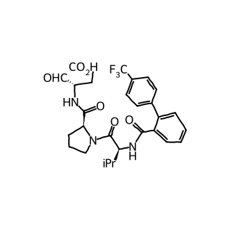 CC(C)[C@H](NC(=O)c1ccccc1-c1ccc(C(F)(F)F)cc1)C(=O)N1CCC[C@H]1C(=O)N[C@H](C=O)CC(=O)O